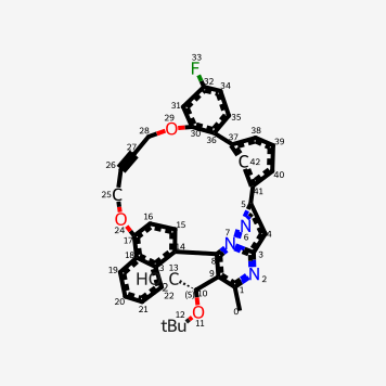 Cc1nc2cc3nn2c(c1[C@H](OC(C)(C)C)C(=O)O)-c1ccc(c2ccccc12)OCC#CCOc1cc(F)ccc1-c1cccc-3c1